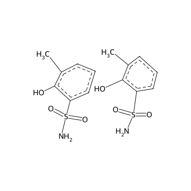 Cc1cccc(S(N)(=O)=O)c1O.Cc1cccc(S(N)(=O)=O)c1O